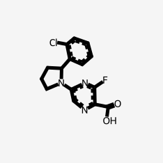 O=C(O)c1ncc(N2CCCC2c2ccccc2Cl)nc1F